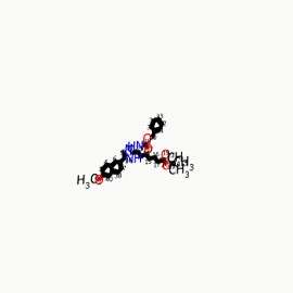 COc1ccc2cc(-c3cnc(C(CCCCCC(=O)OC(C)(C)C)NC(=O)OCc4ccccc4)[nH]3)ccc2c1